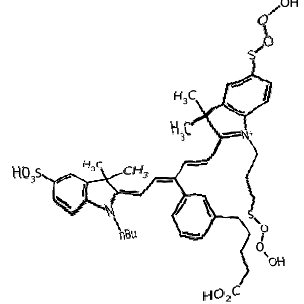 CCCCN1/C(=C/C=C(/C=C/C2=[N+](CCCSOOO)c3ccc(SOOO)cc3C2(C)C)c2cccc(CCCCC(=O)O)c2)C(C)(C)c2cc(S(=O)(=O)O)ccc21